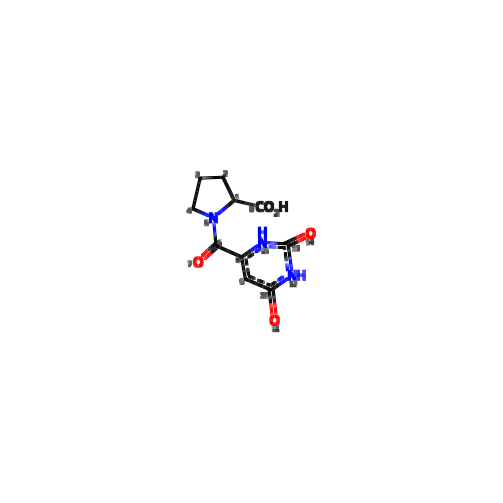 O=C(O)C1CCCN1C(=O)c1cc(=O)[nH]c(=O)[nH]1